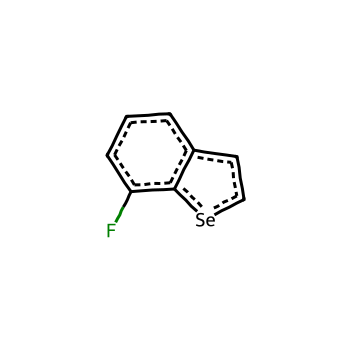 Fc1cccc2cc[se]c12